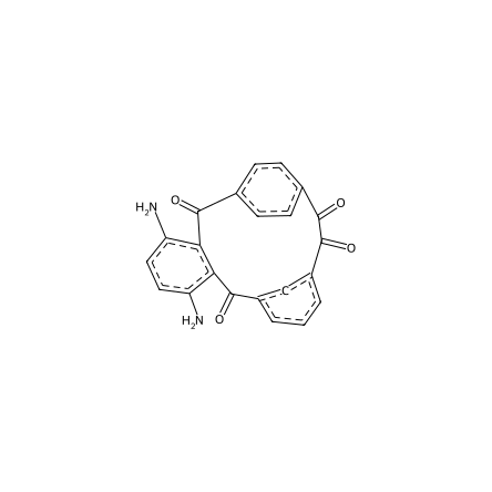 Nc1ccc(N)c2c1C(=O)c1ccc(cc1)C(=O)C(=O)c1cccc(c1)C2=O